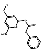 CCOC1=NN(NC(=O)Oc2ccccc2)NC(NC)=C1